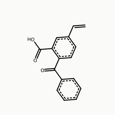 C=Cc1ccc(C(=O)c2ccccc2)c(C(=O)O)c1